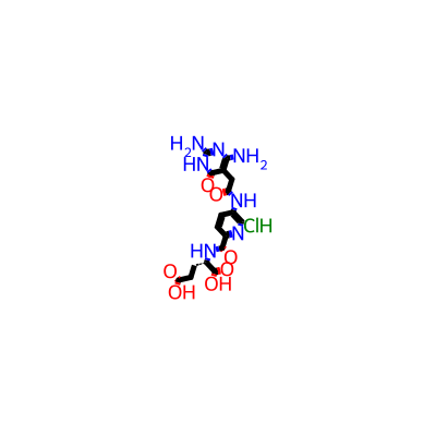 Cl.Nc1nc(N)c(CC(=O)Nc2ccc(C(=O)N[C@@H](CCC(=O)O)C(=O)O)nc2)c(=O)[nH]1